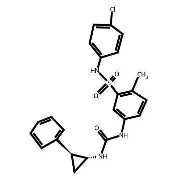 Cc1ccc(NC(=O)N[C@@H]2C[C@H]2c2ccccc2)cc1S(=O)(=O)Nc1ccc(Cl)cc1